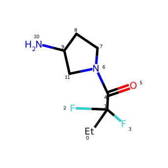 CCC(F)(F)C(=O)N1CCC(N)C1